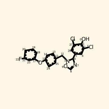 Oc1c(Cl)cc(C2N=CON2Cc2ccc(Oc3cccc(F)c3)cc2)cc1Cl